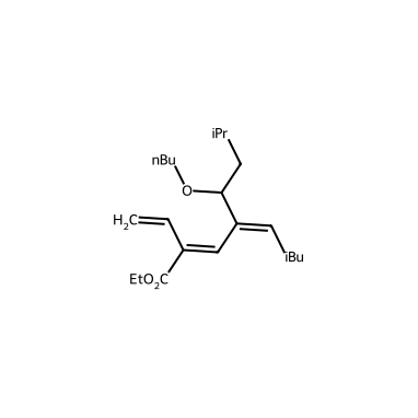 C=C/C(=C\C(=C/C(C)CC)C(CC(C)C)OCCCC)C(=O)OCC